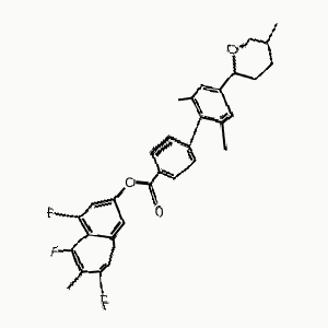 Cc1cc(C2CCC(C)CO2)cc(C)c1-c1ccc(C(=O)Oc2cc(F)c3c(F)c(C)c(F)cc3c2)cc1